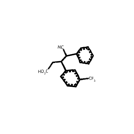 N#CC(c1ccccc1)C(CC(=O)O)c1cccc(C(F)(F)F)c1